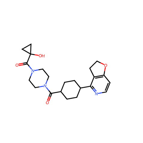 O=C(C1CCC(c2nccc3c2CCO3)CC1)N1CCN(C(=O)C2(O)CC2)CC1